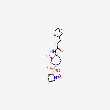 O=C([CH]CC1CCCCC1)N[C@H]1CCCN(S(=O)(=O)c2cccc[n+]2[O-])CC1=O